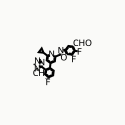 Cn1cnnc1-c1cc(F)ccc1-c1cc(-c2nc3cc(C=O)c(F)c(F)c3o2)nc(C2CC2)c1